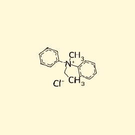 CC[N+](C)(c1ccccc1)c1ccccc1.[Cl-]